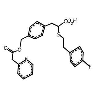 O=C(Cc1ccccn1)OCc1ccc(CC(SCCc2ccc(F)cc2)C(=O)O)cc1